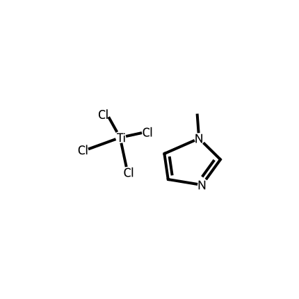 Cn1ccnc1.[Cl][Ti]([Cl])([Cl])[Cl]